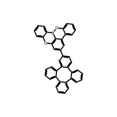 c1ccc2c(c1)Oc1cc(-c3ccc4c(c3)-c3ccccc3-c3ccccc3-c3ccccc3-4)cc3c1B2Oc1ccccc1-3